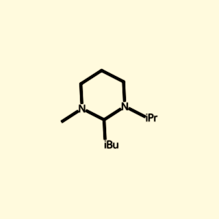 CCC(C)C1N(C)CCCN1C(C)C